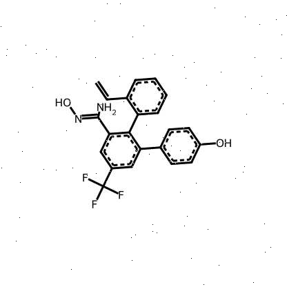 C=Cc1ccccc1-c1c(/C(N)=N/O)cc(C(F)(F)F)cc1-c1ccc(O)cc1